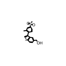 Cc1cc(S(C)(=O)=O)ccc1-c1csc2ccc(CO)cc12